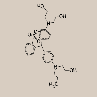 CCCN(CCO)c1ccc(C(c2ccc(N(CCO)CCO)cc2)c2ccccc2S(=O)(=O)O)cc1